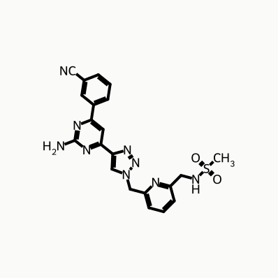 CS(=O)(=O)NCc1cccc(Cn2cc(-c3cc(-c4cccc(C#N)c4)nc(N)n3)nn2)n1